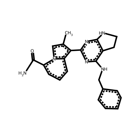 Cc1cn2c(C(N)=O)cccc2c1-c1nc2c(c(NCc3ccccc3)n1)CCN2